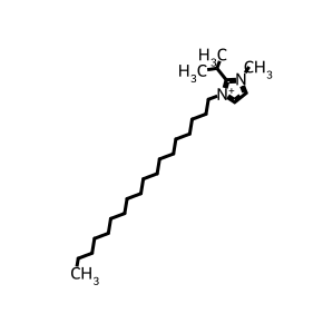 CCCCCCCCCCCCCCCCCC[n+]1ccn(C)c1C(C)C